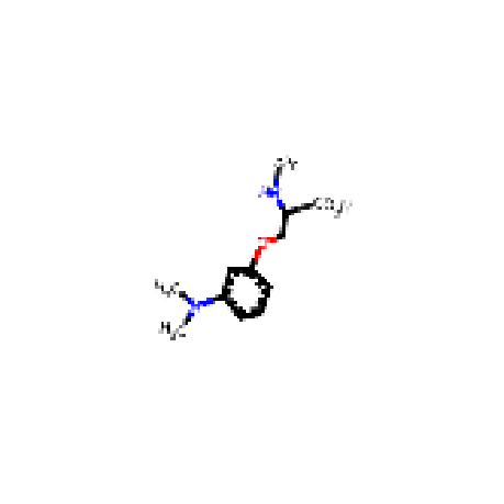 CCCNC(COc1cccc(N(C)C)c1)C(=O)O